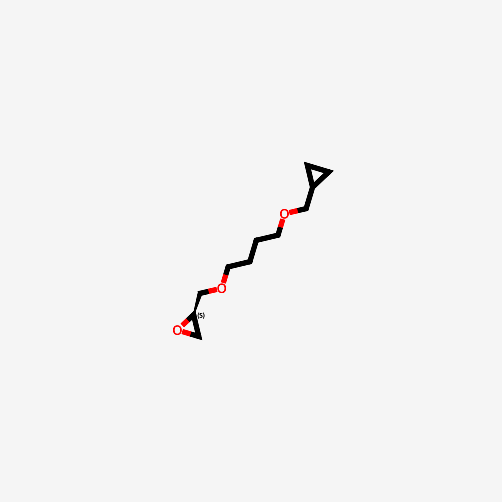 C(CCOC[C@H]1CO1)COCC1CC1